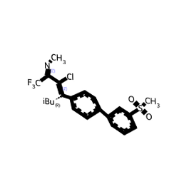 CC[C@@H](C)/C(=C(Cl)\C(=N/C)C(F)(F)F)c1ccc(-c2cccc(S(C)(=O)=O)c2)cc1